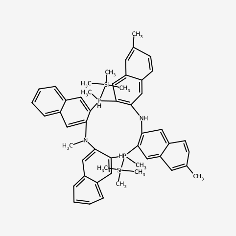 Cc1ccc2cc3c(cc2c1)[PH](C)([Si](C)(C)C)c1cc2ccccc2cc1N(C)c1cc2ccccc2cc1[PH](C)([Si](C)(C)C)c1cc2cc(C)ccc2cc1N3